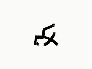 C/C=C(/CCl)C(F)(F)F